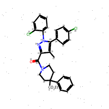 CCOC(=O)C1(c2ccccc2)CCN(C(=O)c2nn(-c3ccccc3Cl)c(-c3ccc(Cl)cc3)c2C)CC1